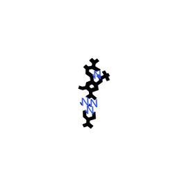 C=C(C)C1=CN2C(=CC1=C)c1cc(CC)c(C3=CN(C)C(N4CCC(C(=C)C)CC4)N=C3)cc1CC2C(C)(C)C